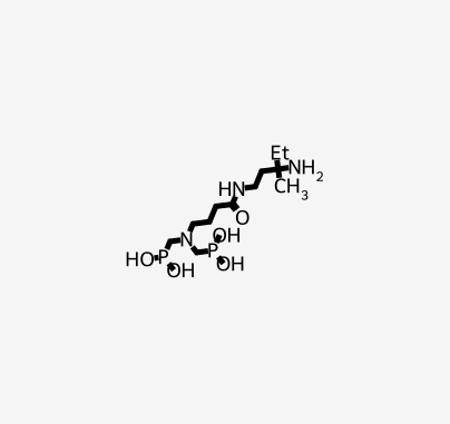 CCC(C)(N)CCNC(=O)CCCN(CP(O)O)CP(O)O